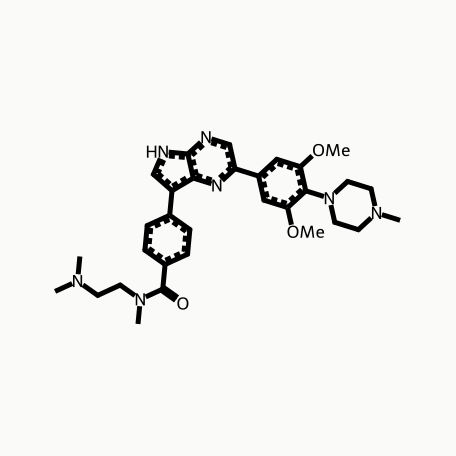 COc1cc(-c2cnc3[nH]cc(-c4ccc(C(=O)N(C)CCN(C)C)cc4)c3n2)cc(OC)c1N1CCN(C)CC1